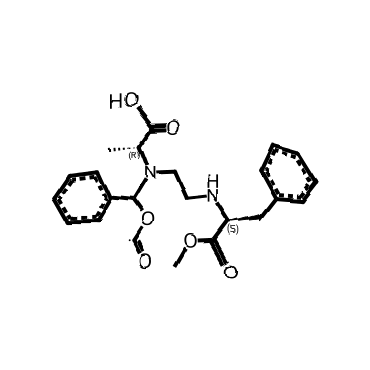 COC(=O)[C@H](Cc1ccccc1)NCCN(C(O[C]=O)c1ccccc1)[C@H](C)C(=O)O